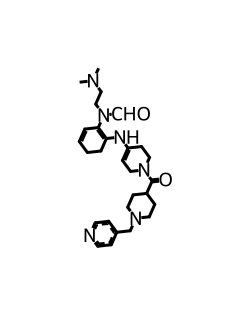 CN(C)CCN(C=O)C1=C(NC2=CCN(C(=O)C3CCN(Cc4ccncc4)CC3)CC2)CCC=C1